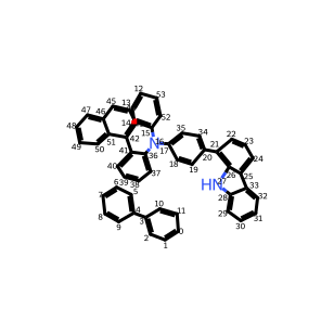 c1ccc(-c2ccccc2)cc1.c1ccc(N(c2ccc(-c3cccc4c3[nH]c3ccccc34)cc2)c2ccccc2-c2cccc3ccccc23)cc1